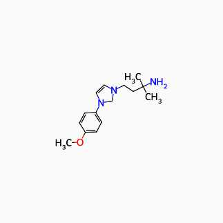 COc1ccc(N2C=CN(CCC(C)(C)N)C2)cc1